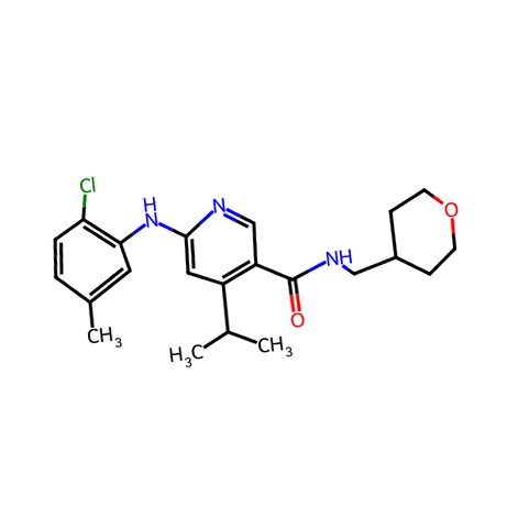 Cc1ccc(Cl)c(Nc2cc(C(C)C)c(C(=O)NCC3CCOCC3)cn2)c1